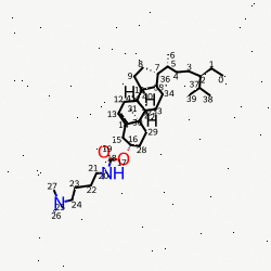 CC[C@H](CC[C@@H](C)[C@H]1CC[C@H]2[C@@H]3CC=C4C[C@@H](OC(=O)NCCCCN(C)C)CC[C@]4(C)[C@H]3CC[C@]12C)C(C)C